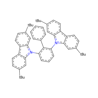 CC(C)(C)c1ccc2c3ccc(C(C)(C)C)cc3n(-c3cccc(-n4c5cc(C(C)(C)C)ccc5c5ccc(C(C)(C)C)cc54)c3-c3ccccc3)c2c1